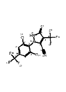 N#Cc1c(C(F)(F)F)c(=S)[nH]n1-c1c(Cl)cc(C(F)(F)F)cc1Cl